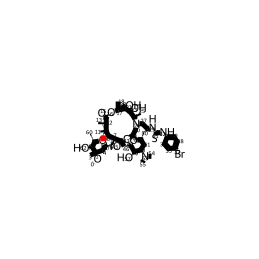 COC1(C)C[C@@H](C[C@H]2[C@H](C)[C@@H](C)[C@@H](C)C(=O)OC(C)C(C)(O)[C@H](O)[C@@H](C)N(CCNC(=S)Nc3ccc(Br)cc3)C[C@@H](C)CC2(O)C[C@@H]2O[C@H](C)C[C@H](N(C)C)[C@@H]2O)O[C@@H](C)[C@H]1O